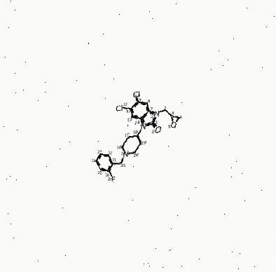 O=c1n(CC2CO2)c2cc(Cl)c(Cl)cc2n1C1CCN(Cc2ccccc2F)CC1